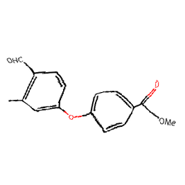 COC(=O)c1ccc(Oc2ccc(C=O)c(C)c2)cc1